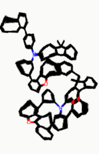 CC1(C)c2ccccc2-c2ccc(N(c3ccc(-c4cccc5ccccc45)cc3)c3cccc(-c4cccc5oc6c7cc(CC8(C)c9ccccc9-c9ccc(N(c%10cccc(-c%11cccc%12oc%13c%14ccccc%14ccc%13c%11%12)c%10)c%10ccccc%10-c%10ccccc%10)cc98)ccc7ccc6c45)c3)cc21